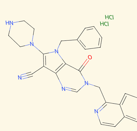 Cl.Cl.N#Cc1c(N2CCNCC2)n(Cc2ccccc2)c2c(=O)n(Cc3nccc4ccccc34)cnc12